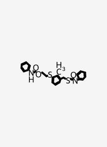 Cc1c(CSc2nc3ccccc3o2)cccc1SCCOC(=O)Nc1ccccc1